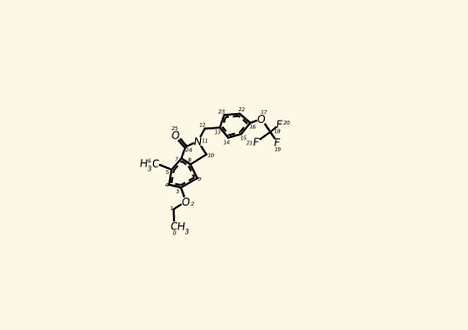 CCOc1cc(C)c2c(c1)CN(Cc1ccc(OC(F)(F)F)cc1)C2=O